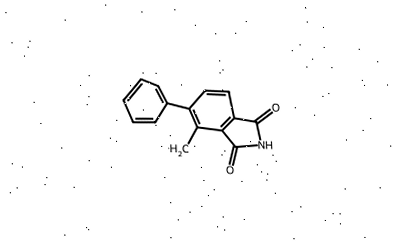 [CH2]c1c(-c2ccccc2)ccc2c1C(=O)NC2=O